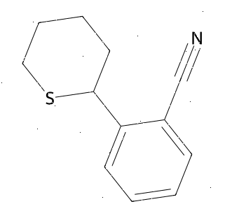 N#Cc1ccccc1C1CCCCS1